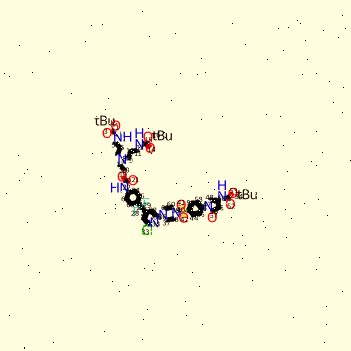 CC(C)(C)OC(=O)NCCCN(CCCNC(=O)OC(C)(C)C)CCOC(=O)NC1CCC(C(F)(F)c2cc(Cl)nc(N3CCN(S(=O)(=O)c4ccc(N5C[C@H](NC(=O)OC(C)(C)C)CC5=O)cc4)CC3)c2)CC1